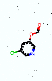 O=[C]Oc1cncc(Cl)c1